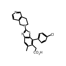 Cc1cc2nc(N3CCc4cnccc4C3)sc2c(-c2ccc(Cl)cc2)c1CC(=O)O